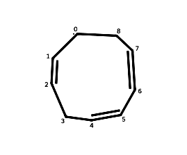 [CH]1/C=C\C/C=C\C=C/C1